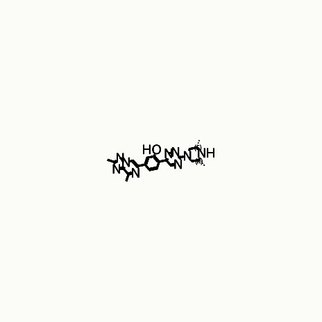 Cc1nc2c(C)nc(-c3ccc(-c4cnc(N5C[C@@H](C)N[C@@H](C)C5)nn4)c(O)c3)cn2n1